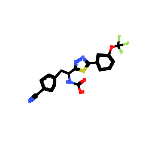 N#Cc1ccc(CC(NC(=O)O)c2nnc(-c3cccc(OC(F)(F)F)c3)s2)cc1